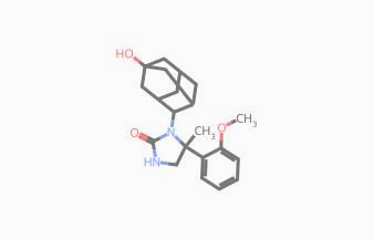 COc1ccccc1C1(C)CNC(=O)N1C1C2CC3CC1CC(O)(C3)C2